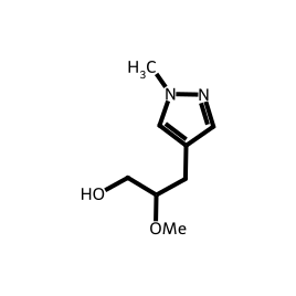 COC(CO)Cc1cnn(C)c1